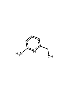 Nc1cccc(CO)n1